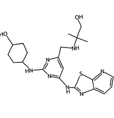 CC(C)(CO)NCc1cc(Nc2nc3cccnc3s2)nc(NC2CCC(O)CC2)n1